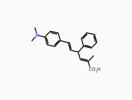 CC(=CC(C=Cc1ccc(N(C)C)cc1)c1ccccc1)C(=O)O